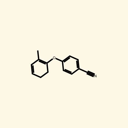 CC1=C(Oc2ccc(C#N)cc2)CCC=C1